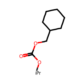 CC(C)OC(=O)OCC1CCCCC1